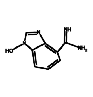 N=C(N)c1cccc2c1ncn2O